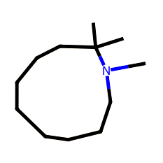 CN1CCCCCCCCC1(C)C